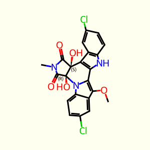 COc1c2n(c3ccc(Cl)cc13)[C@]1(O)C(=O)N(C)C(=O)[C@]1(O)c1c-2[nH]c2ccc(Cl)cc12